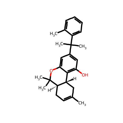 CC1=CC[C@@H]2[C@@H](C1)c1c(O)cc(C(C)(C)c3ccccc3C)cc1OC2(C)C